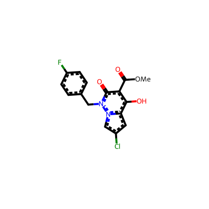 COC(=O)c1c(O)c2cc(Cl)cn2n(Cc2ccc(F)cc2)c1=O